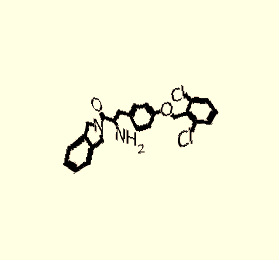 NC(Cc1ccc(OCc2c(Cl)cccc2Cl)cc1)C(=O)N1Cc2ccccc2C1